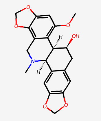 COc1cc2c(c3c1[C@@H]1[C@@H](c4cc5c(cc4C[C@@H]1O)OCO5)N(C)C3)OCO2